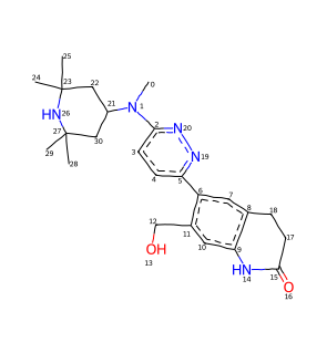 CN(c1ccc(-c2cc3c(cc2CO)NC(=O)CC3)nn1)C1CC(C)(C)NC(C)(C)C1